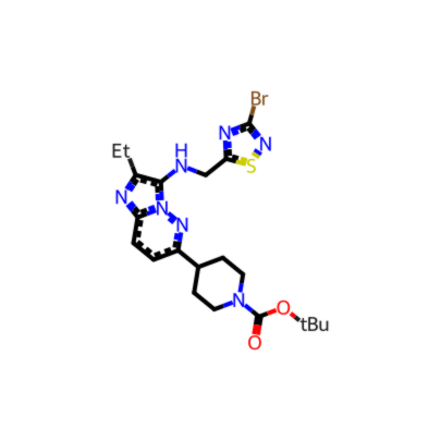 CCc1nc2ccc(C3CCN(C(=O)OC(C)(C)C)CC3)nn2c1NCc1nc(Br)ns1